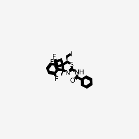 C[C@]1(c2ccccc2F)N=C(NC(=O)c2ccccc2)S[C@H](CI)C12CC(F)(F)C2